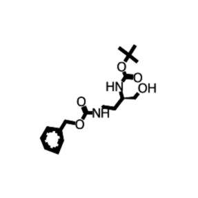 CC(C)(C)OC(=O)N[C@@H](CO)CCNC(=O)OCc1ccccc1